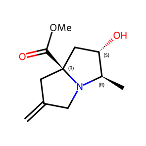 C=C1CN2[C@H](C)[C@@H](O)C[C@@]2(C(=O)OC)C1